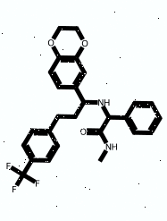 CNC(=O)C(NC(CCc1ccc(C(F)(F)F)cc1)c1ccc2c(c1)OCCO2)c1ccccc1